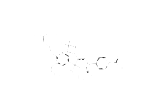 CCc1cc(C(C)(NC)/C(=C\N(C=O)c2ccc(C(=O)O)cc2)C2CC(F)(F)C2)ccc1OCCC(C)C